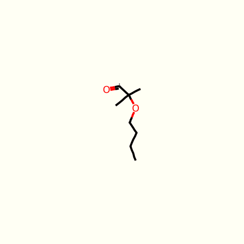 CCCCOC(C)(C)[C]=O